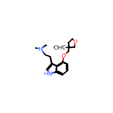 CN(C)CCc1c[nH]c2cccc(OCC3(C=O)CCOC3)c12